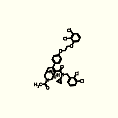 CC(=O)N1CC2CC(c3ccc(OCCOc4cccc(Cl)c4Cl)cc3)=C(C(=O)N(Cc3cccc(Cl)c3Cl)C3CC3)[C@@H](C1)N2